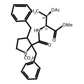 COC(=O)[C@@H](NC(=O)C1(Cc2ccccc2)C(Cc2ccccc2)CCN1C(=O)O)[C@@H](C)OC(C)=O